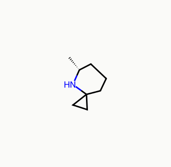 C[C@@H]1CCCC2(CC2)N1